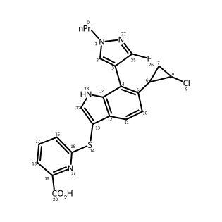 CCCn1cc(-c2c(C3CC3Cl)ccc3c(Sc4cccc(C(=O)O)n4)c[nH]c23)c(F)n1